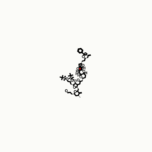 C=C(Br)C[C@H](CC[C@@]12CC3O[C@H]4[C@@H](O1)[C@H]1O[C@@H](CC(=O)CC5[C@H](CC6O[C@@H](CCC=O)C[C@@H](C)C6=C)O[C@H](CC(CO[Si](C)(C)C(C)(C)C)O[Si](C)(C)C(C)(C)C)[C@@H]5OC)CC[C@@H]1O[C@H]4[C@H]3O2)OC(=O)c1ccccc1